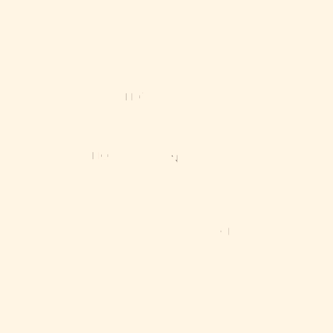 CCCCCN(CCCC)CCCO